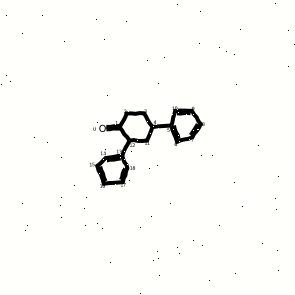 O=C1CCC(c2ccccc2)CC1c1ccccc1